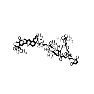 CC[C@@]1(O)C(=O)OCc2c1cc1n(c2=O)Cc2cc3c(CN(C)C)c(OC(=O)NCCNC(=O)C(C)(C)NC(=O)C(C)(C)CNC(=O)CCN(CCN4C(=O)C=CC4=O)S(=O)(=O)CCO/C(C)=C/OC(C)(C)C)ccc3nc2-1